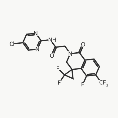 O=C(CN1CC2(CC2(F)F)c2c(ccc(C(F)(F)F)c2F)C1=O)Nc1ncc(Cl)cn1